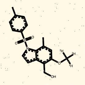 [2H]C([2H])([2H])Oc1cc(C)c2c(ccn2S(=O)(=O)c2ccc(C)cc2)c1CO